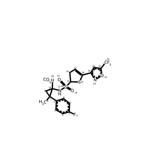 CC1(c2ccc(F)cc2)CC1(NS(=O)(=O)C1CC=C(c2cc(C(F)(F)F)on2)S1)C(=O)O